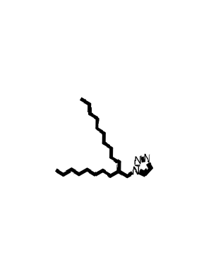 CCCCCCCCCCC(CCCCCCCC)Cn1ccnn1